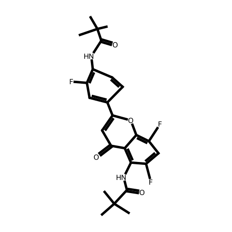 CC(C)(C)C(=O)Nc1ccc(-c2cc(=O)c3c(NC(=O)C(C)(C)C)c(F)cc(F)c3o2)cc1F